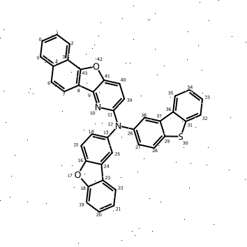 c1ccc2c(c1)ccc1c3nc(N(c4ccc5oc6ccccc6c5c4)c4ccc5sc6ccccc6c5c4)ccc3oc21